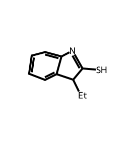 CCC1C(S)=Nc2ccccc21